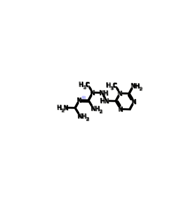 CN1C(N)=NCN=C1NNN(C)/C(N)=N/C(N)N